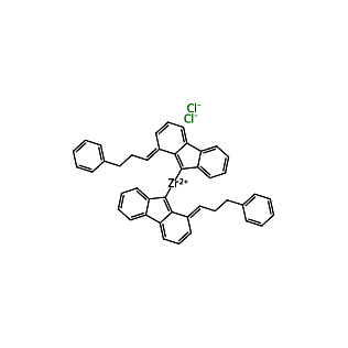 C(CCc1ccccc1)=c1cccc2c1=[C]([Zr+2][C]1=c3c(cccc3=CCCc3ccccc3)-c3ccccc31)c1ccccc1-2.[Cl-].[Cl-]